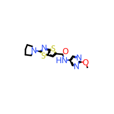 COc1ncc(NC(=O)c2cc3sc(N4CCCCC4)nc3s2)cn1